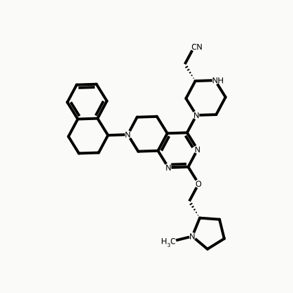 CN1CCC[C@H]1COc1nc2c(c(N3CCN[C@@H](CC#N)C3)n1)CCN(C1CCCc3ccccc31)C2